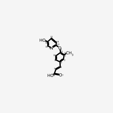 Cc1cc(/C=C/C(=O)O)ccc1Oc1ccc(O)cn1